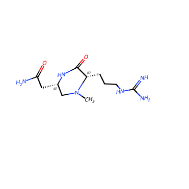 CN1C[C@H](CC(N)=O)NC(=O)[C@@H]1CCCNC(=N)N